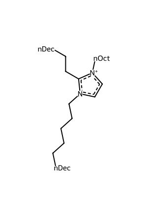 CCCCCCCCCCCCCCCn1cc[n+](CCCCCCCC)c1CCCCCCCCCCCC